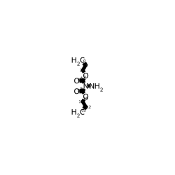 C=CCOC(=O)N(N)C(=O)OCC=C